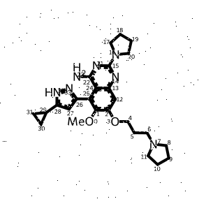 COc1c(OCCCN2CCCC2)cc2nc(N3CCCC3)nc(N)c2c1-c1cc(C2CC2)[nH]n1